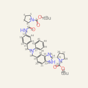 CC(C)(C)OC(=O)N1CCC[C@H]1C(=O)Nc1ccc(CN(Cc2ccc3[nH]c([C@@H]4CCCN4C(=O)OC(C)(C)C)nc3c2)c2ccccc2)cc1